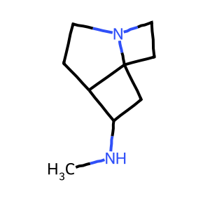 CNC1CC23CCN2CCC13